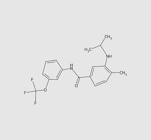 Cc1ccc(C(=O)Nc2cccc(OC(F)(F)F)c2)cc1NC(C)C